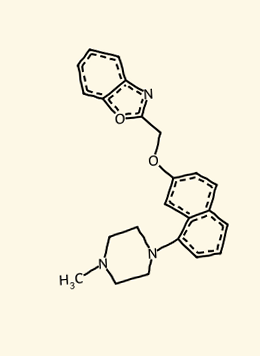 CN1CCN(c2cccc3ccc(OCc4nc5ccccc5o4)cc23)CC1